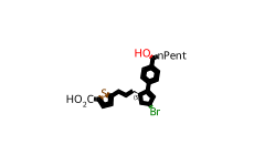 CCCCCC(O)c1ccc(C2=CC(Br)C[C@@H]2CCCc2ccc(C(=O)O)s2)cc1